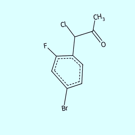 CC(=O)C(Cl)c1ccc(Br)cc1F